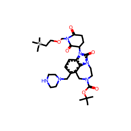 CC(C)(C)OC(=O)N1CCn2c(=O)n(C3CCC(=O)N(COCC[Si](C)(C)C)C3=O)c3ccc(CN4CCNCC4)c(c32)C1